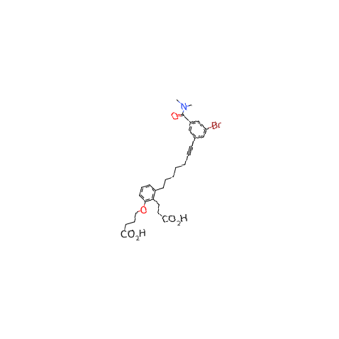 CN(C)C(=O)c1cc(Br)cc(C#CCCCCCc2cccc(OCCCC(=O)O)c2CCC(=O)O)c1